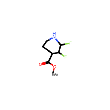 CC(C)(C)OC(=O)C1CCNC(F)C1F